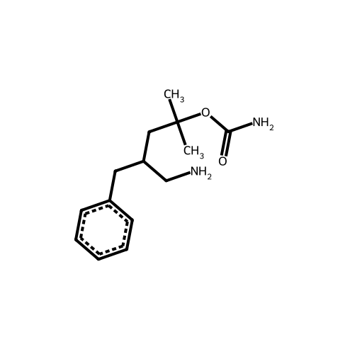 CC(C)(CC(CN)Cc1ccccc1)OC(N)=O